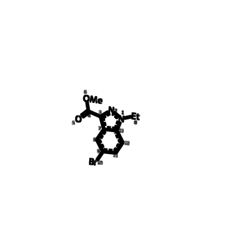 CCn1nc(C(=O)OC)c2cc(Br)ccc21